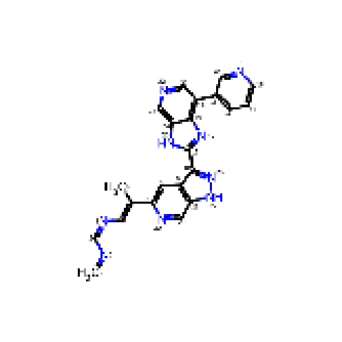 C=N/C=N\C=C(/C)c1cc2c(-c3nc4c(-c5cccnc5)cncc4[nH]3)n[nH]c2cn1